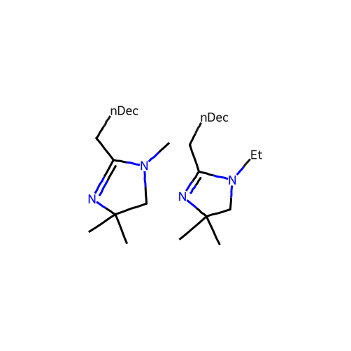 CCCCCCCCCCCC1=NC(C)(C)CN1C.CCCCCCCCCCCC1=NC(C)(C)CN1CC